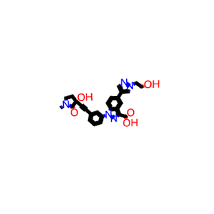 CN1CCC(O)(C#Cc2cccc(-n3nc(C(=O)O)c4cc(-c5cnn(CCO)c5)ccc43)c2)C1=O